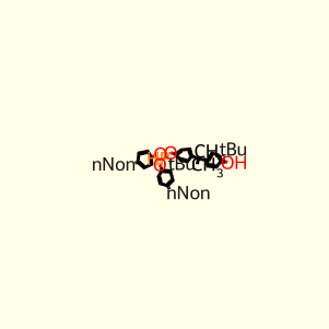 CCCCCCCCCc1ccc(O[PH](Oc2ccc(CCCCCCCCC)cc2)(Oc2ccc(C(C)(C)c3ccc(O)c(C(C)(C)C)c3)cc2)C(C)(C)C)cc1